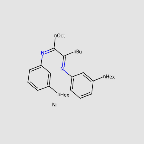 CCCCCCCCC(=Nc1cccc(CCCCCC)c1)C(CCCC)=Nc1cccc(CCCCCC)c1.[Ni]